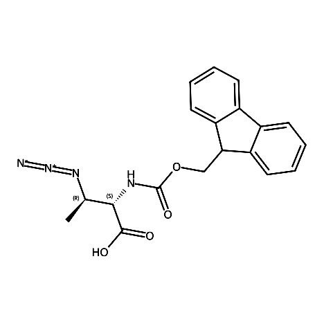 C[C@@H](N=[N+]=[N-])[C@H](NC(=O)OCC1c2ccccc2-c2ccccc21)C(=O)O